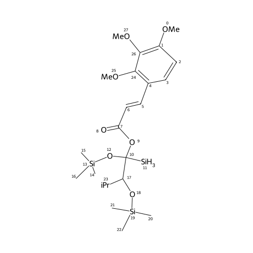 COc1ccc(C=CC(=O)OC([SiH3])(O[Si](C)(C)C)C(O[Si](C)(C)C)C(C)C)c(OC)c1OC